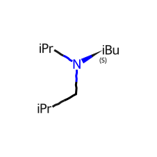 CC[C@H](C)N(CC(C)C)C(C)C